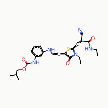 CCNC(=O)C(=C=c1sc(=C=CNc2cccc(NC(=O)OCC(C)C)c2)c(=O)n1CC)C#N